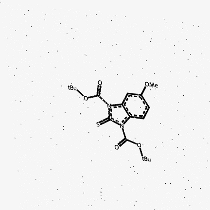 COc1ccc2c(c1)n(C(=O)OC(C)(C)C)c(=S)n2C(=O)OC(C)(C)C